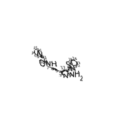 Nc1ncc(C#CCNC(=O)CN2CCCC2)cc1-c1nc2ccccc2s1